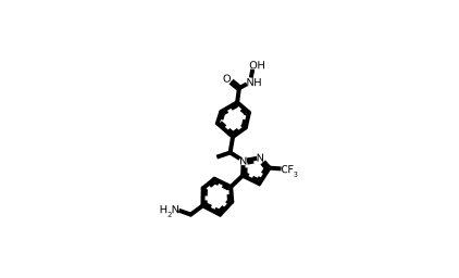 CC(c1ccc(C(=O)NO)cc1)n1nc(C(F)(F)F)cc1-c1ccc(CN)cc1